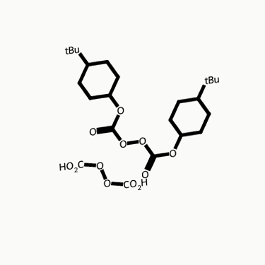 CC(C)(C)C1CCC(OC(=O)OOC(=O)OC2CCC(C(C)(C)C)CC2)CC1.O=C(O)OOC(=O)O